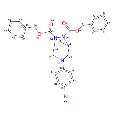 O=C(OCc1ccccc1)N1C2CC(CN(c3ccc(Br)cc3)C2)N1C(=O)OCc1ccccc1